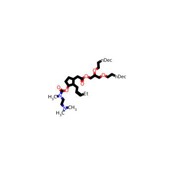 CC/C=C\CC1C(CC(=O)OCC(COCCCCCCCCCCCC)OCCCCCCCCCCCC)CCC1OC(=O)N(C)CCN(C)C